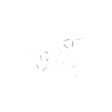 CNc1cc2c(cn1)nc([C@@H](C)O)n2C1CCC(CC#N)CC1.O=S(=O)(O)c1cccc2c(S(=O)(=O)O)cccc12